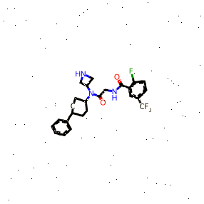 O=C(NCC(=O)N(C1CCC(c2ccccc2)CC1)C1CNC1)c1cc(C(F)(F)F)ccc1F